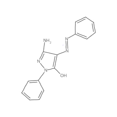 Nc1nn(-c2ccccc2)c(O)c1/N=N/c1ccccc1